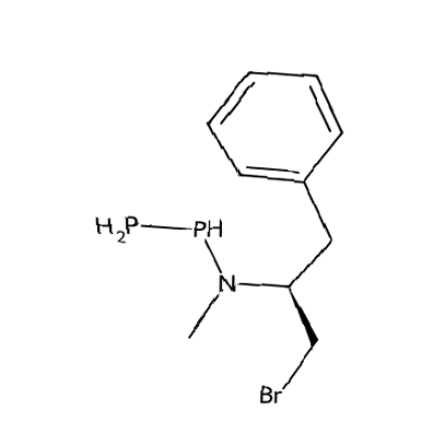 CN(PP)[C@H](CBr)Cc1ccccc1